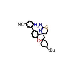 CC(C)(C)C1CCC2(CC1)C[C@@]1(CCSC(N)=N1)c1cc(-c3cccc(C#N)c3)ccc1O2